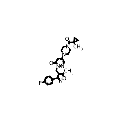 Cc1onc(-c2ccc(F)cc2)c1Cn1ncc(N2CCN(C(=O)C3(C)CC3)CC2)cc1=O